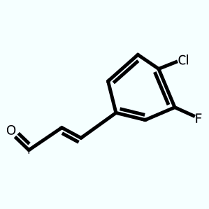 O=[C]C=Cc1ccc(Cl)c(F)c1